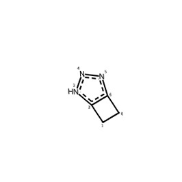 C1Cc2[nH]nnc21